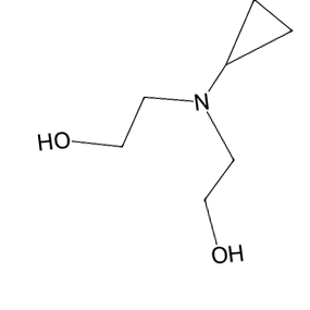 OCCN(CCO)C1CC1